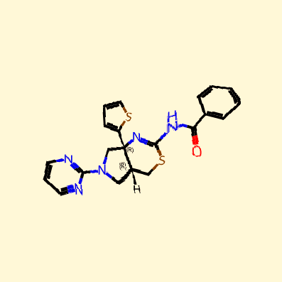 O=C(NC1=N[C@@]2(c3cccs3)CN(c3ncccn3)C[C@H]2CS1)c1ccccc1